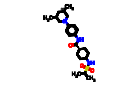 CC1C[C@@H](C)CN(c2ccc(NC(=O)[C@H]3CC[C@H](NS(=O)(=O)C(C)C)CC3)cc2)C1